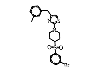 Cc1cccc(Cc2csc(N3CCC(S(=O)(=O)c4cccc(Br)c4)CC3)n2)c1